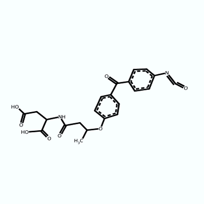 CC(CC(=O)NC(CC(=O)O)C(=O)O)Oc1ccc(C(=O)c2ccc(N=C=O)cc2)cc1